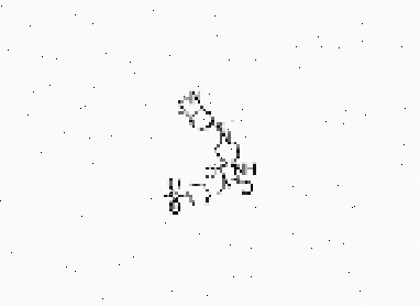 C[C@@H](c1ccc2scnc2c1)N1CCC2(CC1)NC(=O)N(Cc1ccc(S(C)(=O)=O)cc1)C2=O